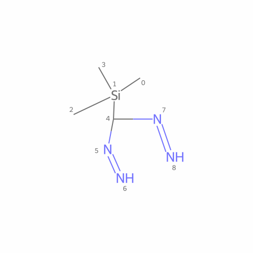 C[Si](C)(C)C(N=N)N=N